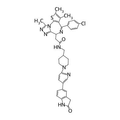 Cc1sc2c(c1C)C(c1ccc(Cl)cc1)=NC(CC(=O)NCC1CCN(c3ccc(-c4ccc5c(c4)CC(=O)N5)cn3)CC1)c1nnc(C)n1-2